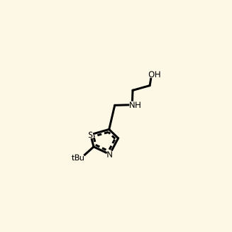 CC(C)(C)c1ncc(CNCCO)s1